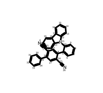 N#Cc1cc(-c2ccccc2-n2c3ccccc3c3ccccc32)c(C#N)cc1-c1ccccc1